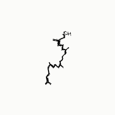 CC(C)=CCCC(C)=CCCC(C)=CCCC=C(C)CCC=C(C)CCO